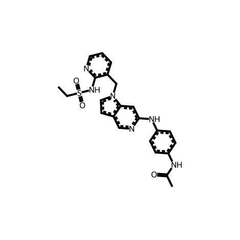 CCS(=O)(=O)Nc1ncccc1Cn1ccc2cnc(Nc3ccc(NC(C)=O)cc3)cc21